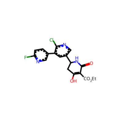 CCOC(=O)C1=C(O)CC(c2cnc(Cl)c(-c3ccc(F)nc3)c2)NC1=O